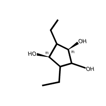 CCC1C(O)[C@H](O)C(CC)[C@@H]1O